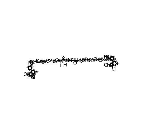 CN1Cc2c(Cl)cc(Cl)cc2[C@H](c2cccc(-c3cn(CCOCCOCCOCCOCCOCCNC(=O)NCCCCNC(=O)NCCOCCOCCOCCOCCOCCn4cc(-c5cccc([C@@H]6CN(C)Cc7c(Cl)cc(Cl)cc76)c5)nn4)nn3)c2)C1